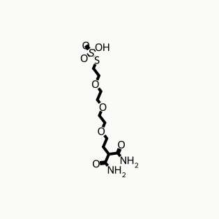 NC(=O)C(CCOCCOCCOCCSS(=O)(=O)O)C(N)=O